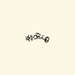 Cc1noc(C)c1S(=O)(=O)N1CCc2c(ncnc2NC(=O)CC23CC4CC(CC(C4)C2)C3)C1